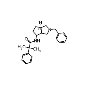 CC(C)(C(=O)NC1CC[C@H]2CN(Cc3ccccc3)CC12)c1ccccc1